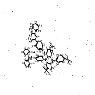 C[SiH](C)c1cc2c3c(c1)N(c1ccc(-c4cnc5oc6ccccc6c5c4)cc1)c1cc(N(c4ccccc4)c4ccccc4)ccc1B3c1cc(C(C)(C)C)ccc1N2c1ccc(C(C)(C)C)cc1